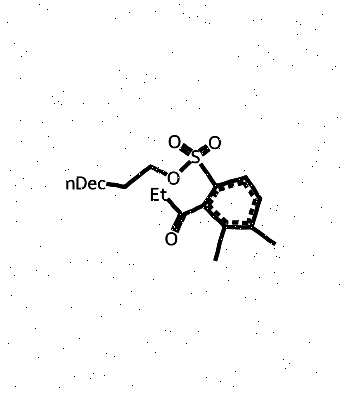 CCCCCCCCCCCCOS(=O)(=O)c1ccc(C)c(C)c1C(=O)CC